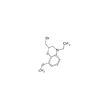 CCN1CC(CO)Oc2c(OC)cccc21